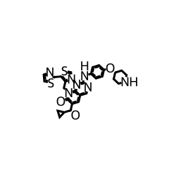 O=C(c1cc2cnc(Nc3ccc(OC4CCNCC4)cc3)nc2n(Cc2ncsc2-c2nccs2)c1=O)C1CC1